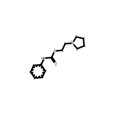 O=C(Nc1ccccc1)OCCN1CCCC1